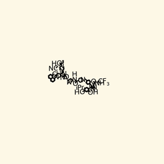 C=CC(O)N1CCN(c2nc(OC[C@@H]3C[C@@H](NC(=O)C4CCN(Cc5ccc(-n6c(C(=O)NCC(F)(F)F)nnc6-c6cc(C(C)C)c(O)cc6O)cc5)CC4)CN3C)nc3c2CCN(c2cccc4cccc(Cl)c24)C3)C[C@@H]1CC#N